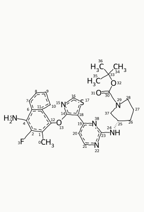 Cc1c(F)c(N)c2ccccc2c1Oc1ncsc1-c1ccnc(N[C@H]2CCCN(C(=O)OC(C)(C)C)C2)n1